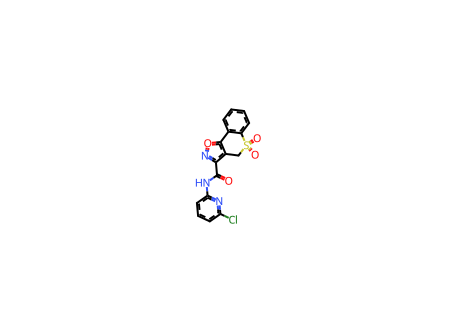 O=C(Nc1cccc(Cl)n1)c1noc2c1CS(=O)(=O)c1ccccc1-2